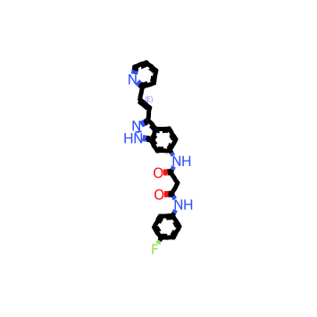 O=C(CC(=O)Nc1ccc2c(/C=C/c3ccccn3)n[nH]c2c1)Nc1ccc(F)cc1